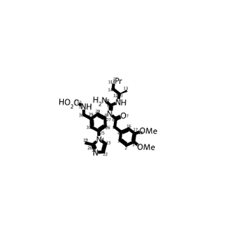 COc1ccc(CC(=O)N=C(N)N[C@H](C)CC(C)C)cc1OC.Cc1nccn1-c1cccc(CNC(=O)O)c1